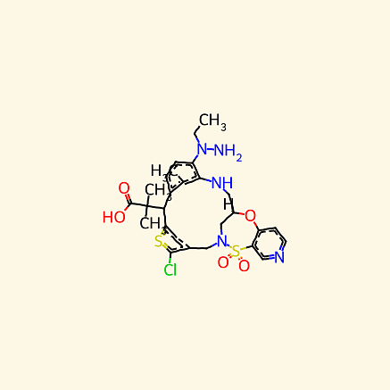 CCN(N)c1ccc2c(C)c1NC[C@@H]1CN(Cc3cc(sc3Cl)C2C(C)(C)C(=O)O)S(=O)(=O)c2cnccc2O1